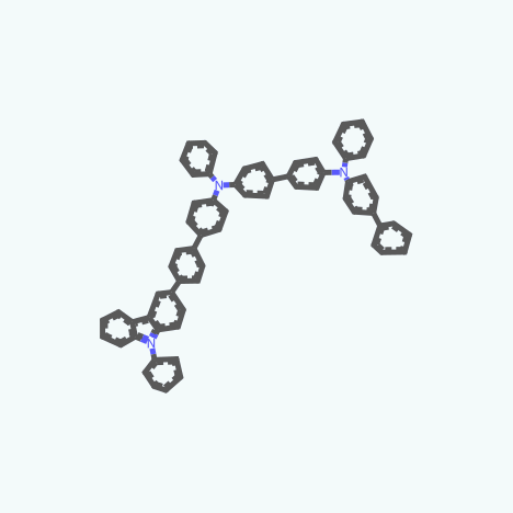 c1ccc(-c2ccc(N(c3ccccc3)c3ccc(-c4ccc(N(c5ccccc5)c5ccc(-c6ccc(-c7ccc8c(c7)c7ccccc7n8-c7ccccc7)cc6)cc5)cc4)cc3)cc2)cc1